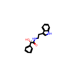 O=C(NCCc1c[nH]c2ccccc12)[C@H](O)c1ccccc1